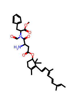 CC=C(C)C=CC=C(C)C=CC1=C(C)CCC(OC(=O)CC(N)C(=O)N(C=O)C(Cc2ccccc2)C(=O)OC)C1(C)C